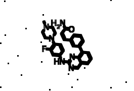 CN1CCN(c2ccc(Nc3ncc4cccc(-c5cccc(C=CC(N)=O)c5)c4n3)cc2F)CC1